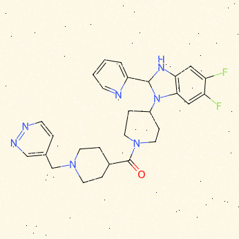 O=C(C1CCN(Cc2ccnnc2)CC1)N1CCC(N2c3cc(F)c(F)cc3NC2c2ccccn2)CC1